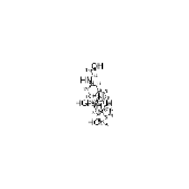 CC(O)[C@H]1CC[C@H]2[C@@H]3CCC4CC(NCCO)CC[C@]4(C)[C@H]3CC[C@]12C.Cl